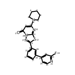 O=c1cc(N2CCCCC2)nc2sc(-c3cccc(-c4ccnc(F)c4)c3)nn12